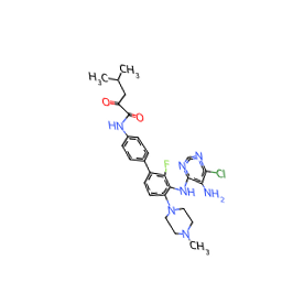 CC(C)CC(=O)C(=O)Nc1ccc(-c2ccc(N3CCN(C)CC3)c(Nc3ncnc(Cl)c3N)c2F)cc1